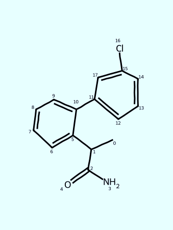 CC(C(N)=O)c1ccccc1-c1cccc(Cl)c1